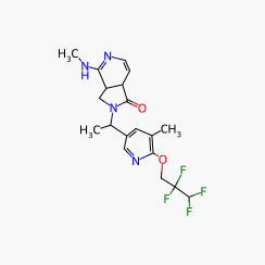 CNC1=NC=CC2C(=O)N(C(C)c3cnc(OCC(F)(F)C(F)F)c(C)c3)CC12